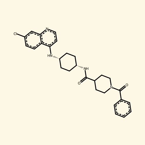 O=C(N[C@H]1CC[C@@H](Nc2ccnc3cc(Cl)ccc23)CC1)C1CCN(C(=O)c2ccccc2)CC1